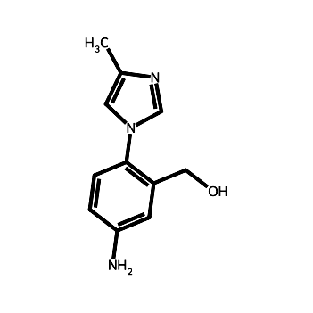 Cc1cn(-c2ccc(N)cc2CO)cn1